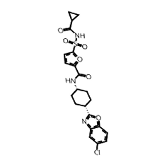 O=C(N[C@H]1CC[C@@H](c2nc3cc(Cl)ccc3o2)CC1)c1ccc(S(=O)(=O)NC(=O)C2CC2)o1